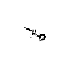 O=[C]CNC(=O)NCc1ccccn1